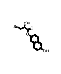 CC(C)(C)CC(C(=O)Oc1ccc2cc(O)ccc2c1)C(C)(C)C